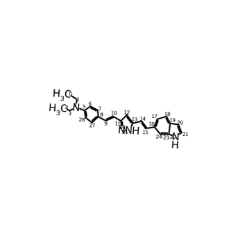 CCN(CC)c1ccc(/C=C/c2cc(/C=C/c3ccc4cc[nH]c4c3)[nH]n2)cc1